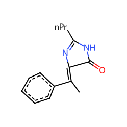 CCCC1=N/C(=C(/C)c2ccccc2)C(=O)N1